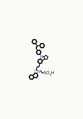 O=S(=O)(O)CC[n+]1c(/C=C/c2ccc3c(c2)C2CCCC2N3c2ccc(C=C(c3ccccc3)c3ccccc3)cc2)sc2c3ccccc3ccc21